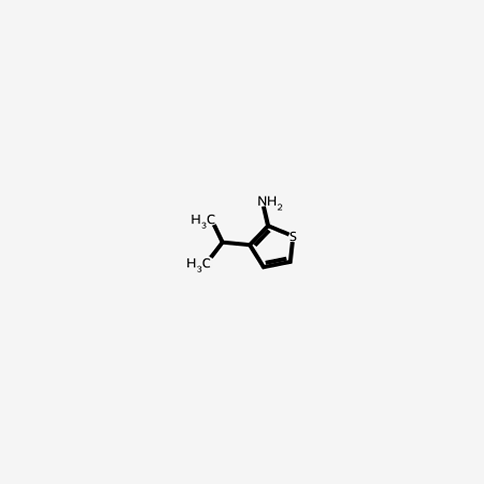 CC(C)c1ccsc1N